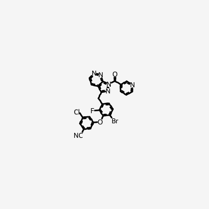 N#Cc1cc(Cl)cc(Oc2c(Br)ccc(Cc3nn(C(=O)c4cccnc4)c4nnccc34)c2F)c1